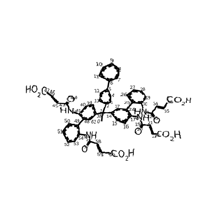 CC(c1ccc(-c2ccccc2)cc1)(c1ccc(NC(=O)/C=C/C(=O)O)c(-c2ccccc2NC(=O)/C=C/C(=O)O)c1)c1ccc(NC(=O)/C=C/C(=O)O)c(-c2ccccc2NC(=O)/C=C/C(=O)O)c1